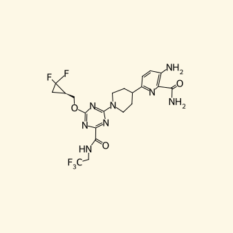 NC(=O)c1nc(C2CCN(c3nc(OC[C@H]4CC4(F)F)nc(C(=O)NCC(F)(F)F)n3)CC2)ccc1N